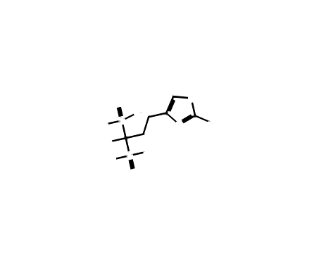 Nc1nc(CCC(O)(P(=O)(O)O)P(=O)(O)O)cs1